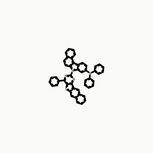 c1ccc(-c2nc(-n3c4cc(N(c5ccccc5)c5ccccc5)ccc4c4c5ccccc5ccc43)nc3c2sc2cc4ccccc4cc23)cc1